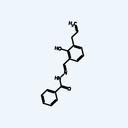 C=CCc1cccc(/C=N/NC(=O)c2ccccc2)c1O